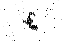 CCCCN1CCCN(C(=O)c2sc(-c3cccc(N(C)C)c3)nc2C)CC1